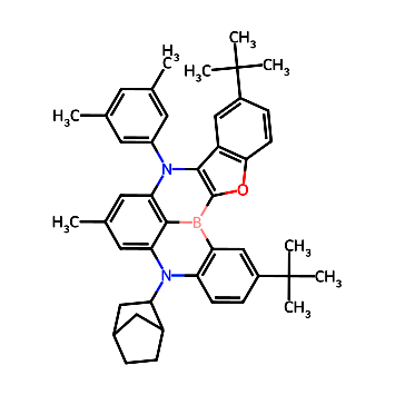 Cc1cc(C)cc(N2c3cc(C)cc4c3B(c3cc(C(C)(C)C)ccc3N4C3CC4CCC3C4)c3oc4ccc(C(C)(C)C)cc4c32)c1